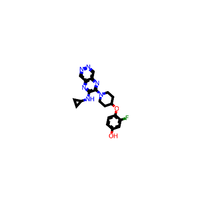 Oc1ccc(OC2CCN(c3nc4cnncc4nc3NC3CC3)CC2)c(F)c1